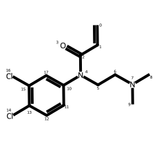 C=CC(=O)N(CCN(C)C)c1ccc(Cl)c(Cl)c1